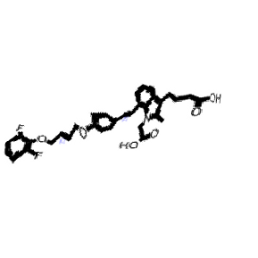 Cc1c(CCCC(=O)O)c2cccc(/C=C/c3ccc(OC/C=C/COc4c(F)cccc4F)cc3)c2n1CC(=O)O